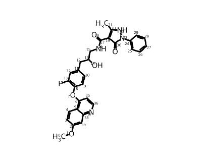 COc1ccc2c(Oc3ccc(CC(O)CNC(=O)c4c(C)[nH]n(-c5ccccc5)c4=O)cc3F)ccnc2c1